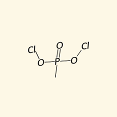 CP(=O)(OCl)OCl